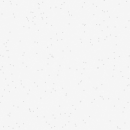 O=S(=O)(c1cc(Br)ccc1F)N1CCCC1